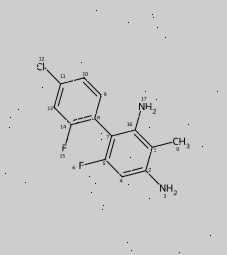 Cc1c(N)cc(F)c(-c2ccc(Cl)cc2F)c1N